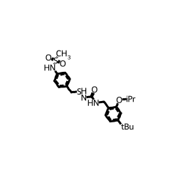 CC(C)Oc1cc(C(C)(C)C)ccc1CNC(=O)NSCc1ccc(NS(C)(=O)=O)cc1